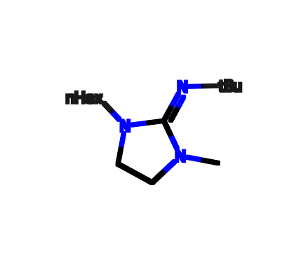 CCCCCCN1CCN(C)C1=NC(C)(C)C